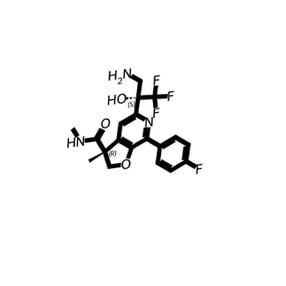 CNC(=O)[C@@]1(C)COc2c1cc([C@@](O)(CN)C(F)(F)F)nc2-c1ccc(F)cc1